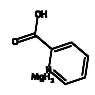 O=C(O)c1ccccn1.[MgH2]